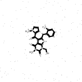 CC(C)Cn1c(=O)n(C)c(=O)c2c(C(=O)c3cccn3C)c(Cc3ccccc3C(F)(F)F)sc21